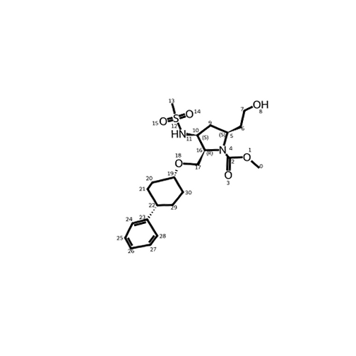 COC(=O)N1[C@H](CCO)C[C@H](NS(C)(=O)=O)[C@@H]1CO[C@H]1CC[C@@H](c2ccccc2)CC1